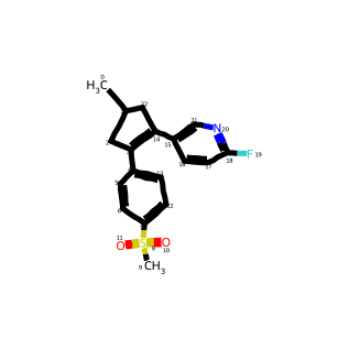 CC1CC(c2ccc(S(C)(=O)=O)cc2)=C(c2ccc(F)nc2)C1